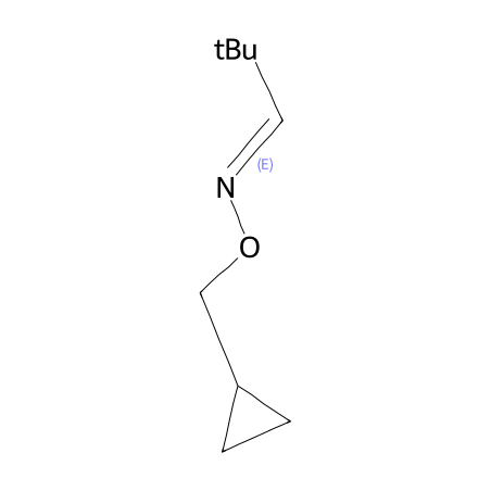 CC(C)(C)/C=N/OCC1CC1